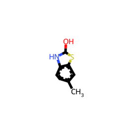 Cc1ccc2c(c1)SC(O)N2